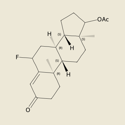 CC(=O)OC1CC[C@H]2[C@@H]3CC(F)C4=CC(=O)CC[C@]4(C)[C@H]3CC[C@]12C